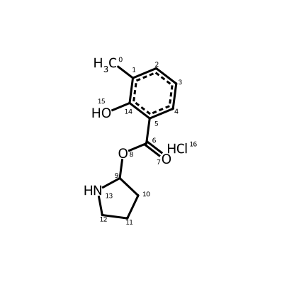 Cc1cccc(C(=O)OC2CCCN2)c1O.Cl